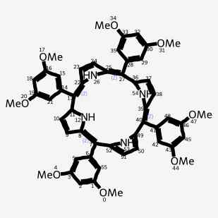 COc1cc(OC)cc(/C2=C3\C=CC(N3)/C(c3cc(OC)cc(OC)c3)=c3/cc/c([nH]3)=C(\c3cc(OC)cc(OC)c3)C3C=C/C(=C(\c4cc(OC)cc(OC)c4)c4ccc2[nH]4)N3)c1